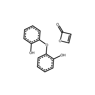 O=C1C=CO1.Oc1ccccc1Oc1ccccc1O